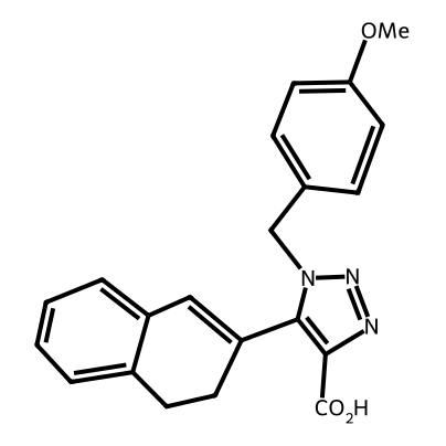 COc1ccc(Cn2nnc(C(=O)O)c2C2=Cc3ccccc3CC2)cc1